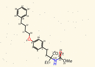 CCOC(=O)C(CC)(CCc1ccc(OCCCCc2ccccc2)cc1)NC(=O)OC